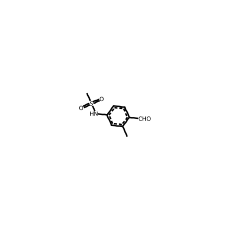 Cc1cc(NS(C)(=O)=O)ccc1C=O